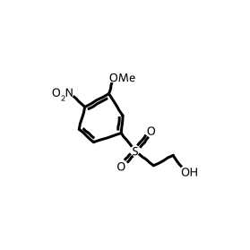 COc1cc(S(=O)(=O)CCO)ccc1[N+](=O)[O-]